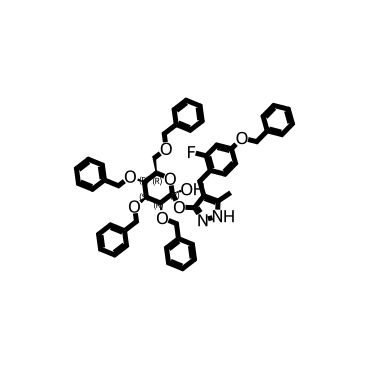 Cc1[nH]nc(O[C@]2(O)O[C@H](COCc3ccccc3)[C@@H](OCc3ccccc3)[C@H](OCc3ccccc3)[C@H]2OCc2ccccc2)c1Cc1ccc(OCc2ccccc2)cc1F